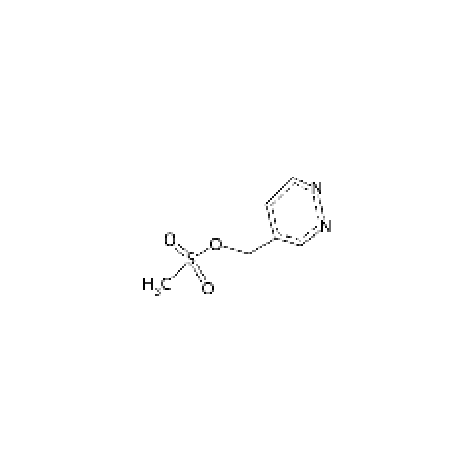 CS(=O)(=O)OCc1ccnnc1